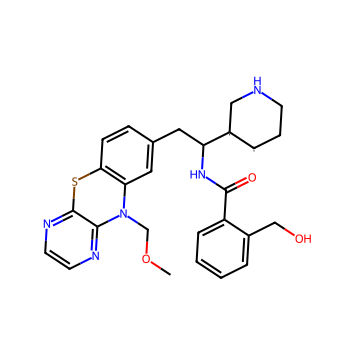 COCN1c2cc(CC(NC(=O)c3ccccc3CO)[C]3[CH]CCNC3)ccc2Sc2nccnc21